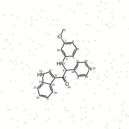 COc1cccc(NC(C(=O)c2c[nH]c3ccccc23)c2ccncc2)c1